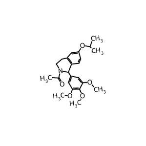 COc1cc(C2c3ccc(OC(C)C)cc3CCN2C(C)=O)cc(OC)c1OC